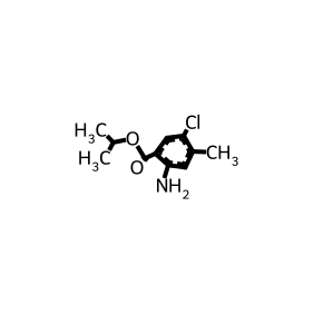 Cc1cc(N)c(C(=O)OC(C)C)cc1Cl